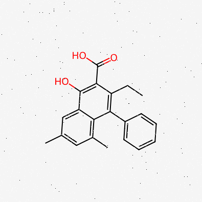 CCc1c(C(=O)O)c(O)c2cc(C)cc(C)c2c1-c1ccccc1